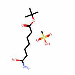 CC(C)(C)OC(=O)CCCCCC(N)O.CS(=O)(=O)O